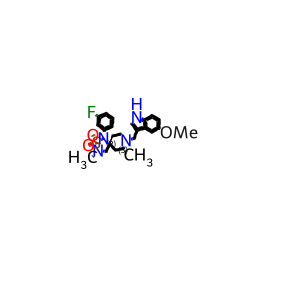 COc1ccc2[nH]cc(CN3CC[C@@]4(C[C@@H]3C)CN(C)S(=O)(=O)N4c3cccc(F)c3)c2c1